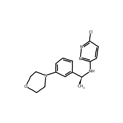 C[C@H](Nc1ccc(Cl)nn1)c1cccc(N2CCOCC2)c1